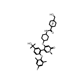 Cc1cc(F)cc(C)c1Oc1ccc(C(C)(C)O)cc1-c1cn(C)c(=O)cc1OC1CCC(NC(=O)C23CCC(CO)(CC2)CC3)CC1